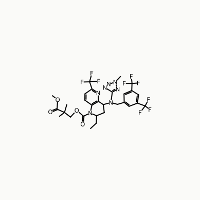 CCC1CC(N(Cc2cc(C(F)(F)F)cc(C(F)(F)F)c2)c2nnn(C)n2)c2nc(C(F)(F)F)ccc2N1C(=O)OCC(C)(C)C(=O)OC